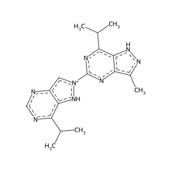 Cc1n[nH]c2c(C(C)C)nc(-[n+]3cc4ncnc(C(C)C)c4[nH]3)nc12